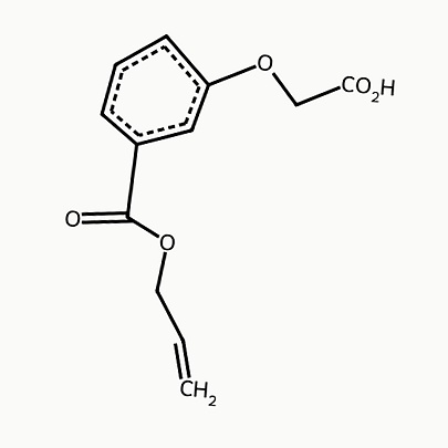 C=CCOC(=O)c1cccc(OCC(=O)O)c1